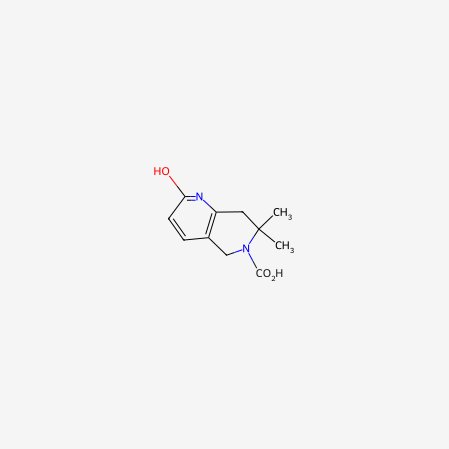 CC1(C)Cc2nc(O)ccc2CN1C(=O)O